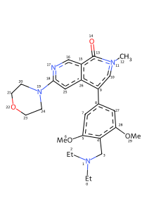 CCN(CC)Cc1c(OC)cc(-c2cn(C)c(=O)c3cnc(N4CCOCC4)cc23)cc1OC